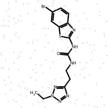 CCn1nnc(CCNC(=O)Nc2nc3ccc(Br)cc3s2)n1